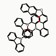 c1ccc(N(c2ccc(-n3c4ccccc4c4ccccc43)cc2)c2ccccc2-n2c3ccccc3c3ccccc32)c(-c2ccc3oc4cc5ccccc5cc4c3c2)c1